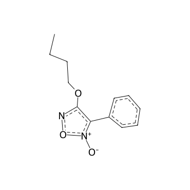 CCCCOc1no[n+]([O-])c1-c1ccccc1